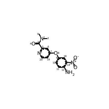 CN(C)C(=O)c1cc(Oc2ccc(N)c([N+](=O)[O-])c2)ccn1